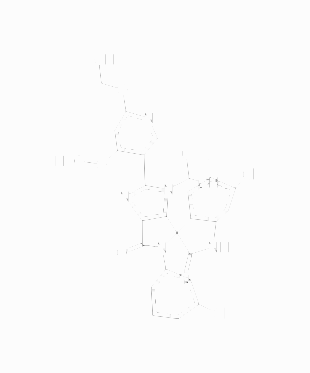 CCOc1cc(OC)c(-c2nc3c(n2C(C)C)C2(C(=O)Nc4cc(Cl)ccc42)N(c2cccc(Cl)c2)C3=O)cn1